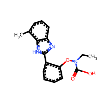 CCN(Oc1ccccc1-c1nc2cccc(C)c2[nH]1)C(=O)O